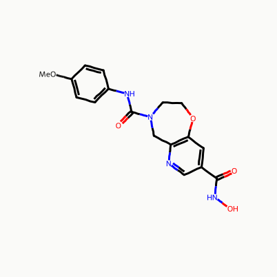 COc1ccc(NC(=O)N2CCOc3cc(C(=O)NO)cnc3C2)cc1